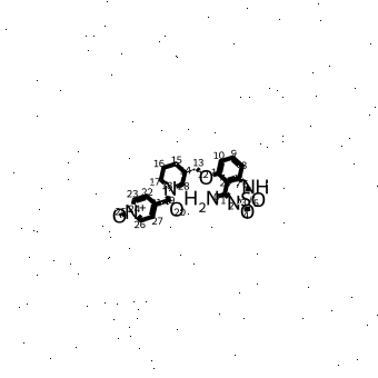 NC1=NS(=O)(=O)Nc2cccc(OC[C@H]3CCCN(C(=O)c4cc[n+]([O-])cc4)C3)c21